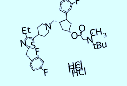 CCc1nc(Cc2ccc(F)cc2F)sc1C1CCN(C[C@H]2C[C@H](OC(=O)CN(C)C(C)(C)C)C[C@@H]2c2cccc(F)c2)CC1.Cl.Cl.Cl